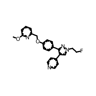 COc1cccc(COc2ccc(-c3nn(CCF)cc3-c3ccncc3)cc2)n1